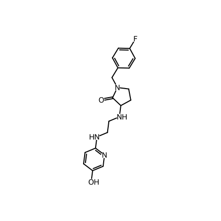 O=C1C(NCCNc2ccc(O)cn2)CCN1Cc1ccc(F)cc1